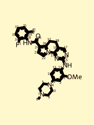 COc1cc(N2CCN(C)CC2)ccc1Nc1ncc2c(n1)-n1ccc(C(=O)Nc3c(F)cccc3F)c1CC2